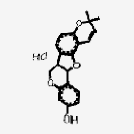 CC1(C)C=Cc2c(ccc3c2OC2c4ccc(O)cc4OCC32)O1.Cl